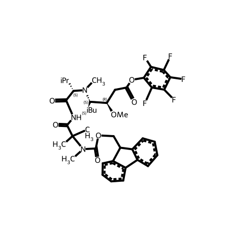 CC[C@H](C)[C@@H]([C@@H](CC(=O)Oc1c(F)c(F)c(F)c(F)c1F)OC)N(C)[C@H](C(=O)NC(=O)C(C)(C)N(C)C(=O)OCC1c2ccccc2-c2ccccc21)C(C)C